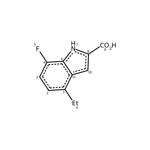 CCc1ccc(F)c2[nH]c(C(=O)O)cc12